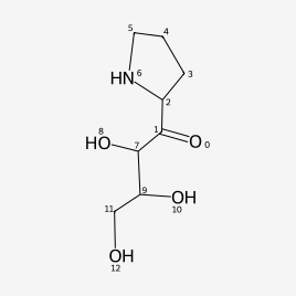 O=C(C1CCCN1)C(O)C(O)CO